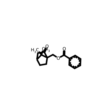 CC1(C)C2CCC1(COC(=O)c1ccccc1)C(=O)C2